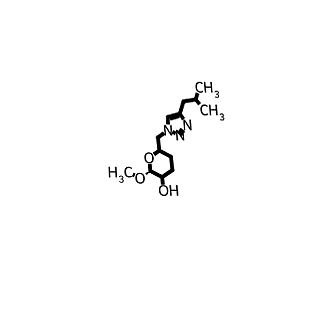 CO[C@@H]1OC(Cn2cc(CC(C)C)nn2)CCC1O